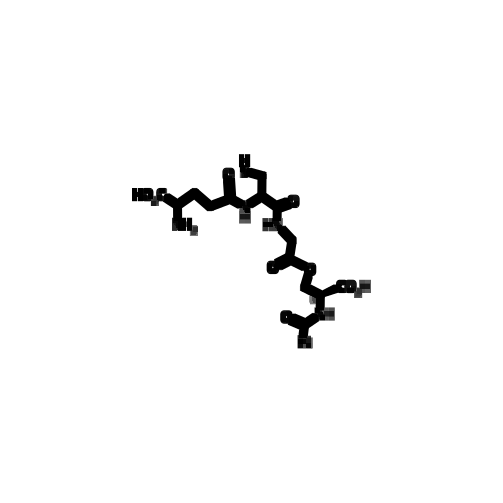 CCC(=O)N[C@@H](COC(=O)CNC(=O)C(CS)NC(=O)CCC(N)C(=O)O)C(=O)O